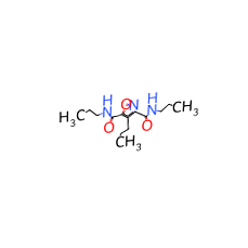 CCCNC(=O)c1noc(C(=O)NCCC)c1CCC